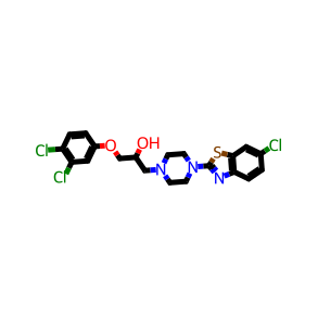 OC(COc1ccc(Cl)c(Cl)c1)CN1CCN(c2nc3ccc(Cl)cc3s2)CC1